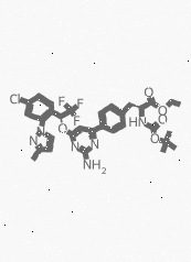 CCOC(=O)[C@H](Cc1ccc(-c2cc(O[C@H](c3ccc(Cl)cc3-n3ccc(C)n3)C(F)(F)F)nc(N)n2)cc1)NC(=O)OC(C)(C)C